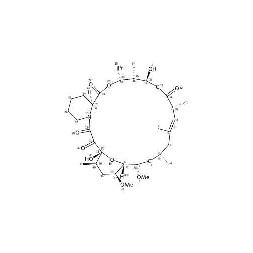 CO[C@H]1C[C@@H](C)C/C(C)=C/[C@@H](C)C(=O)C[C@H](O)[C@@H](C)[C@@H](C(C)C)OC(=O)[C@@H]2CCCCN2C(=O)C(=O)[C@]2(O)O[C@H]1[C@@H](OC)C[C@H]2C